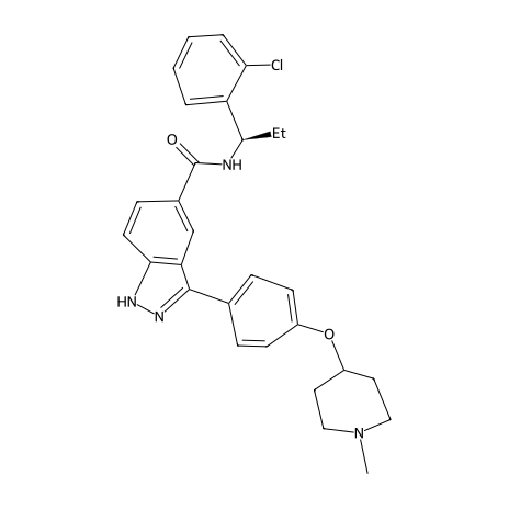 CC[C@@H](NC(=O)c1ccc2[nH]nc(-c3ccc(OC4CCN(C)CC4)cc3)c2c1)c1ccccc1Cl